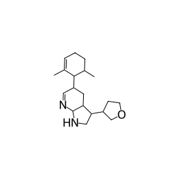 CC1=CCCC(C)C1C1C=NC2NCC(C3CCOC3)C2C1